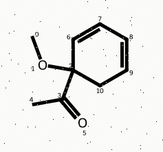 COC1(C(C)=O)C=CC=CC1